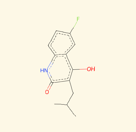 CC(C)Cc1c(O)c2cc(F)ccc2[nH]c1=O